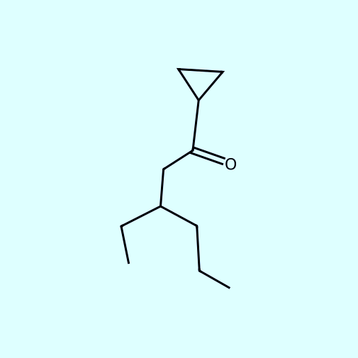 CCCC(CC)CC(=O)C1CC1